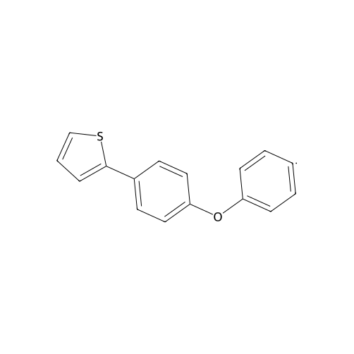 [c]1ccc(Oc2ccc(-c3cccs3)cc2)cc1